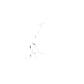 C=CNC1C=CC(OCCCCCNI)=CC1CC(C)C